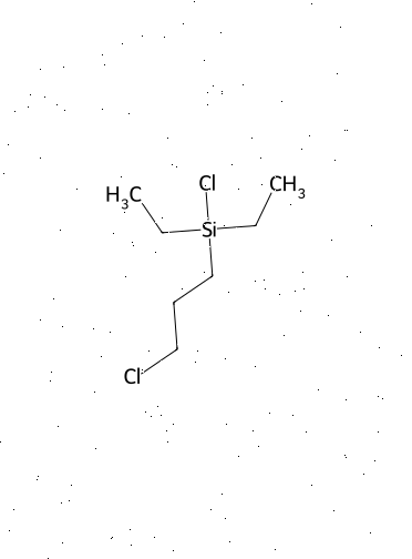 CC[Si](Cl)(CC)CCCCl